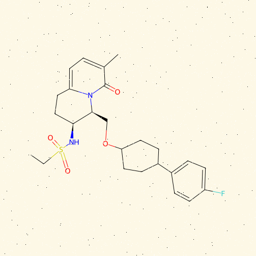 CCS(=O)(=O)N[C@H]1CCc2ccc(C)c(=O)n2[C@H]1COC1CCC(c2ccc(F)cc2)CC1